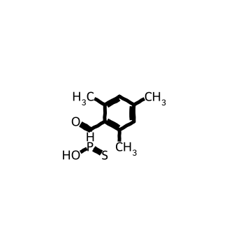 Cc1cc(C)c(C(=O)[PH](O)=S)c(C)c1